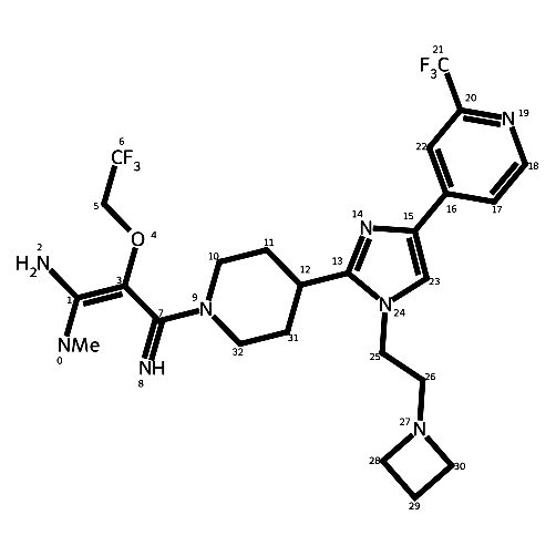 CN/C(N)=C(/OCC(F)(F)F)C(=N)N1CCC(c2nc(-c3ccnc(C(F)(F)F)c3)cn2CCN2CCC2)CC1